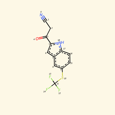 N#CCC(=O)c1cc2cc(SC(F)(F)F)ccc2[nH]1